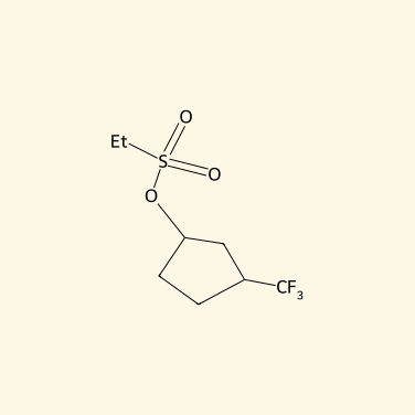 CCS(=O)(=O)OC1CCC(C(F)(F)F)C1